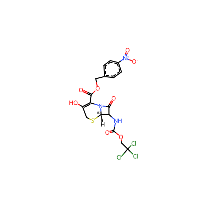 O=C(NC1C(=O)N2C(C(=O)OCc3ccc([N+](=O)[O-])cc3)=C(O)CS[C@@H]12)OCC(Cl)(Cl)Cl